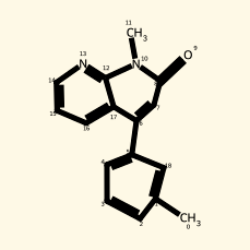 Cc1cccc(-c2cc(=O)n(C)c3ncccc23)c1